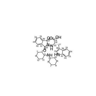 C1CCC(NC2CCCCC2)CC1.O=C(O)[C@H](Cc1c[nH]c2ccccc12)NN1C(=O)c2ccccc2C1=O